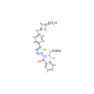 COCCN(C(=O)c1ccccc1F)c1nnc(-c2ccc(CN3CC(C(=O)O)C3)cc2)s1